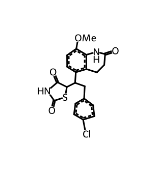 COc1ccc(C(Cc2ccc(Cl)cc2)C2SC(=O)NC2=O)c2c1NC(=O)CC2